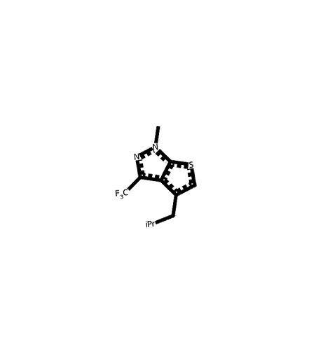 CC(C)[CH]c1csc2c1c(C(F)(F)F)nn2C